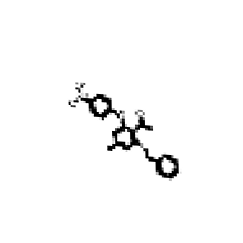 CC(=O)c1c(OCc2ccccc2)cc(C)cc1Oc1ccc([N+](=O)[O-])cc1